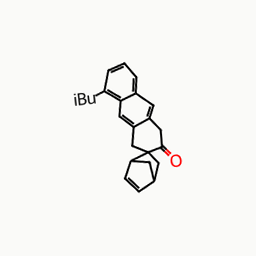 CCC(C)c1cccc2cc3c(cc12)CC1(CC2C=CC1C2)C(=O)C3